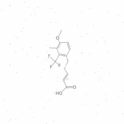 COc1ccc(CC/C=C/C(=O)O)c(C(F)(F)F)c1C